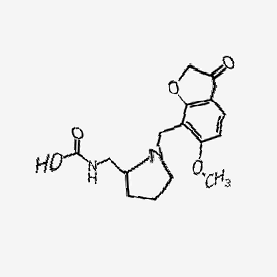 COc1ccc2c(c1CN1CCCC1CNC(=O)O)OCC2=O